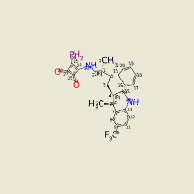 C[C@H](CC[C@@H]1[C@H](C)c2cc(C(F)(F)F)ccc2N[C@H]1C1C=CC=CC1)CNc1c(P)c(=O)c1=O